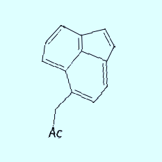 CC(=O)Cc1ccc2c3c(cccc13)C=C2